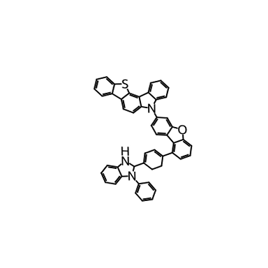 C1=C(c2cccc3oc4cc(-n5c6ccccc6c6c7sc8ccccc8c7ccc65)ccc4c23)CCC(C2Nc3ccccc3N2c2ccccc2)=C1